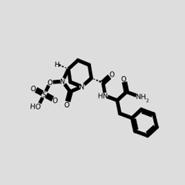 NC(=O)C(Cc1ccccc1)NC(=O)[C@H]1CC[C@H]2CN1C(=O)N2OS(=O)(=O)O